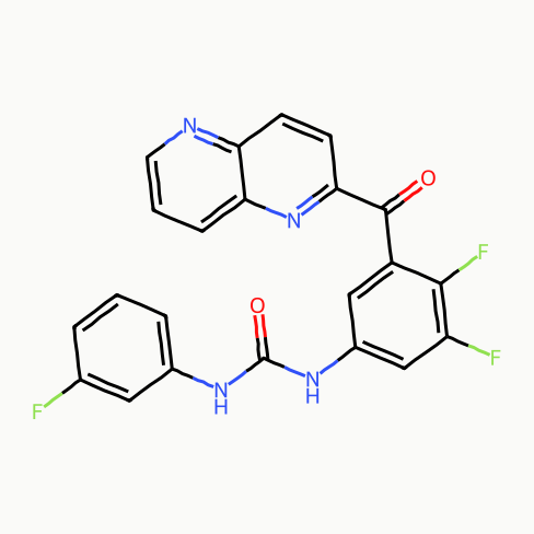 O=C(Nc1cccc(F)c1)Nc1cc(F)c(F)c(C(=O)c2ccc3ncccc3n2)c1